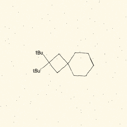 CC(C)(C)C1(C(C)(C)C)CC2(CCCCC2)C1